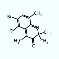 CC1=c2c(Cl)c(Br)cc(C)c2=NC(C)(C)C1=O